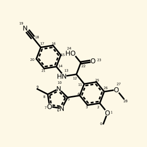 COc1cc(-c2noc(C)n2)c(C(Nc2ccc(C#N)cc2)C(=O)O)cc1OC